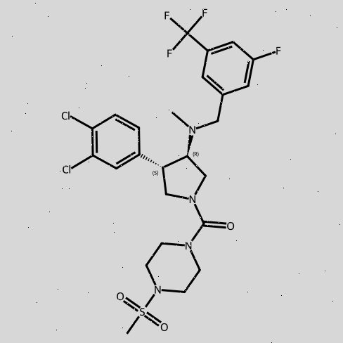 CN(Cc1cc(F)cc(C(F)(F)F)c1)[C@H]1CN(C(=O)N2CCN(S(C)(=O)=O)CC2)C[C@@H]1c1ccc(Cl)c(Cl)c1